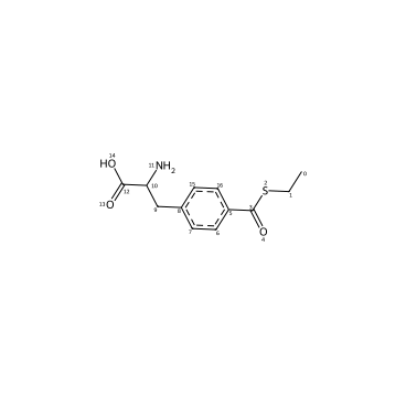 CCSC(=O)c1ccc(CC(N)C(=O)O)cc1